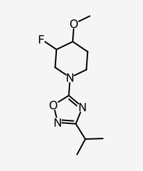 COC1CCN(c2nc(C(C)C)no2)CC1F